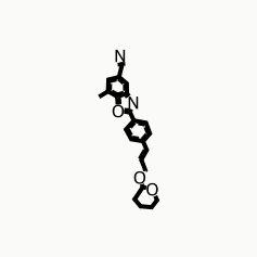 Cc1cc(C#N)cc2nc(-c3ccc(C=CCOC4CCCCO4)cc3)oc12